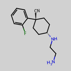 N#C[C@]1(c2ccccc2F)CC[C@@H](NCCN)CC1